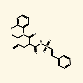 C=CCC(C(=O)NS(=O)(=O)/C=C/c1ccccc1)C(=O)N(CC)c1ccccc1F